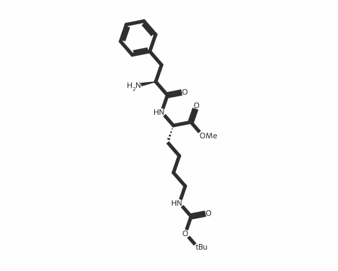 COC(=O)[C@H](CCCCNC(=O)OC(C)(C)C)NC(=O)[C@@H](N)Cc1ccccc1